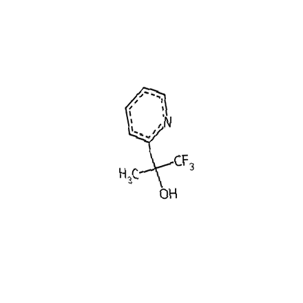 CC(O)(c1ccccn1)C(F)(F)F